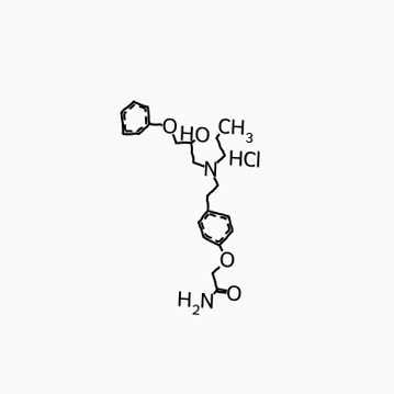 CCCN(CCc1ccc(OCC(N)=O)cc1)CC(O)COc1ccccc1.Cl